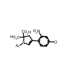 CC(=O)N1C=C(c2ccc(Cl)cc2[N+](=O)[O-])CC1(C(=O)O)C(=O)O